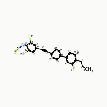 CCCc1c(F)cc(-c2ccc(C#Cc3cc(F)c(N=C=S)c(F)c3)cc2)cc1F